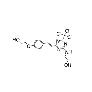 OCCNc1nc(C=Cc2ccc(OCCO)cc2)nc(C(Cl)(Cl)Cl)n1